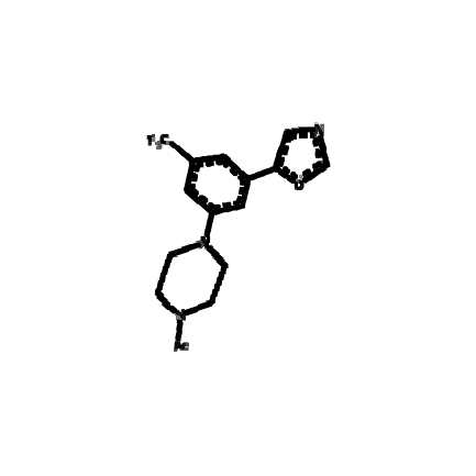 CC(=O)N1CCN(c2cc(-c3cnco3)cc(C(F)(F)F)c2)CC1